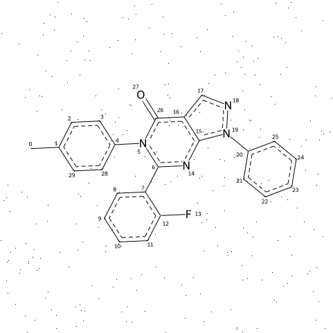 Cc1ccc(-n2c(-c3ccccc3F)nc3c(cnn3-c3ccccc3)c2=O)cc1